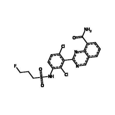 NC(=O)c1cccc2cnc(-c3c(Cl)ccc(NS(=O)(=O)CCCF)c3Cl)nc12